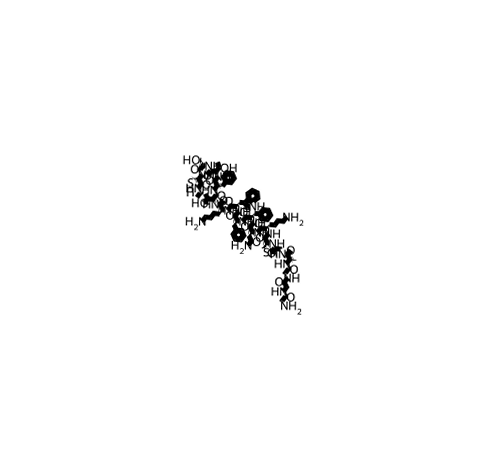 CCNC(=O)[C@H](CS)NC(=O)[C@H](CO)NC(=O)[C@@H](NC(=O)[C@H](Cc1ccccc1)NC(=O)[C@@H](NC(=O)[C@H](CCCCN)NC(=O)[C@H](Cc1c[nH]c2ccccc12)NC(=O)[C@H](Cc1ccccc1)NC(=O)[C@H](Cc1ccccc1)NC(=O)[C@H](CC(N)=O)NC(=O)[C@H](CCCCN)NC(=O)[C@H](CS)NC(=O)CNC(=O)[C@H](C)NC(=O)CNC(=O)CNC(=O)CN)C(C)O)C(C)O